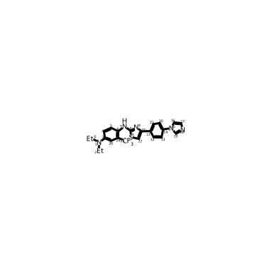 CCN(CC)c1ccc(Nc2nc(-c3ccc(-n4ccnc4)cc3)cs2)c(C(F)(F)F)c1